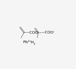 C=C(C)C(=O)[O-].C=C(C)C(=O)[O-].[PbH2+2]